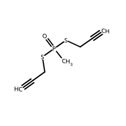 C#CCSP(C)(=O)SCC#C